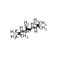 CC(C)(C)NNC=C([SiH3])NNC(C)(C)C